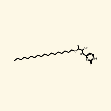 CCCCCCCCCCCCCCCCCCOC(C)C(O)Nc1cc[nH]c(=O)n1